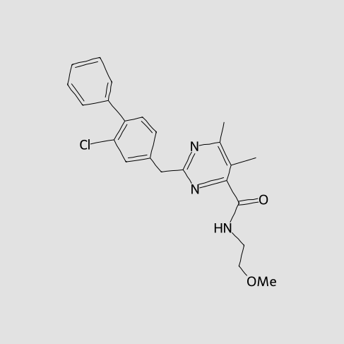 COCCNC(=O)c1nc(Cc2ccc(-c3ccccc3)c(Cl)c2)nc(C)c1C